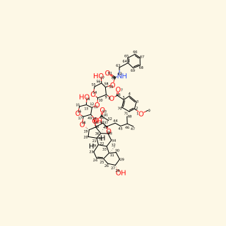 COc1ccc(C(=O)OC2C(OC3C(O)COC(O[C@H]4C[C@H]5[C@@H]6CC=C7C[C@@H](O)CC[C@]7(C)C6CC[C@]5(C)[C@@]4(O)[C@H](C)C(=O)CCC(C)C)C3OC(C)=O)OCC(O)C2OC(=O)NCc2ccccc2)cc1